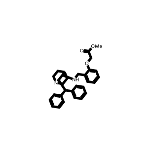 COC(=O)COc1ccccc1CNC1C2CCN(CC2)C1C(c1ccccc1)c1ccccc1